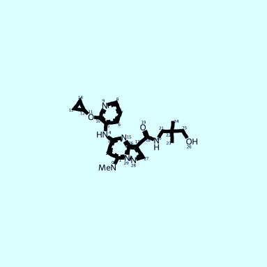 CNc1cc(Nc2cccnc2OC2CC2)nc2c(C(=O)NCC(C)(C)CO)cnn12